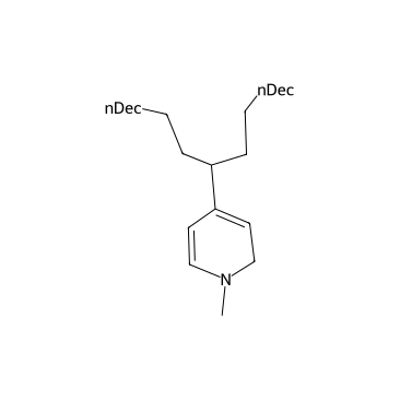 CCCCCCCCCCCCC(CCCCCCCCCCCC)C1=CCN(C)C=C1